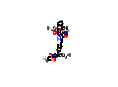 Cc1ccccc1C(C)OC(=O)Nc1c(C)noc1C#CC1=CC2=CC(C3(C(=O)O)CN(S(C)(=O)=O)C3)=CC2=C1